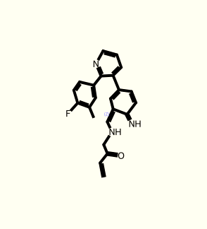 C=CC(=O)CN/C=C1/C=C(c2cccnc2-c2ccc(F)c(C)c2)C=CC1=N